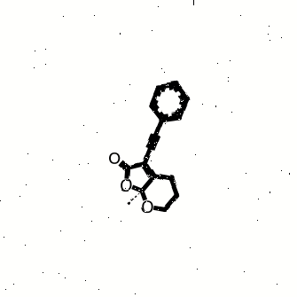 C[C@@]12OCCCC1=C(C#Cc1ccccc1)C(=O)O2